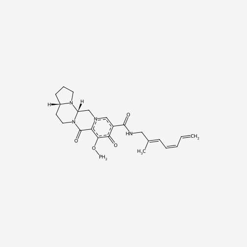 C=C/C=C\C=C(/C)CNC(=O)c1cn2c(c(OP)c1=O)C(=O)N1CC[C@@H]3CCCN3[C@@H]1C2